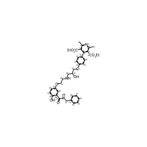 CCOC(=O)c1c(C)nc(C)c(C(=O)OCC)c1-c1ccc(OCC(O)CNCCOc2ccc(O)c(C(=O)NCc3ccccc3)c2)cc1